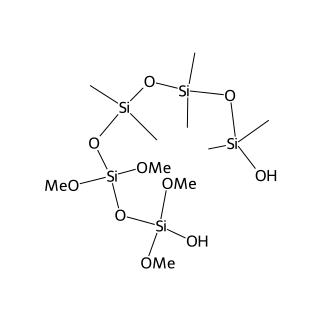 CO[Si](O)(OC)O[Si](OC)(OC)O[Si](C)(C)O[Si](C)(C)O[Si](C)(C)O